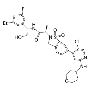 CCc1cc(F)cc([C@@H](CO)NC(=O)[C@@H](C)N2Cc3ccc(-c4cc(NC5CCOCC5)ncc4Cl)cc3S2(=O)=O)c1